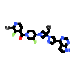 N#CCC1(n2cc(-c3ncnc4[nH]ccc34)cn2)CN([C@@H]2CCN(C(=O)c3ccnc(C(F)(F)F)c3F)C[C@@H]2F)C1